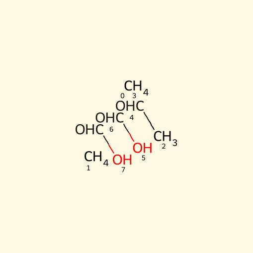 C.C.CC=O.O=CO.O=CO